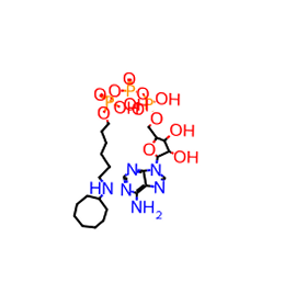 Nc1ncnc2c1ncn2C1OC(COP(=O)(O)OP(=O)(O)OP(=O)(O)OCCCCCCNC2CCCCCCC2)C(O)C1O